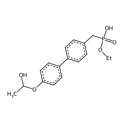 CCOP(=O)(O)Cc1ccc(-c2ccc(OC(C)O)cc2)cc1